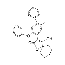 Cc1cc(C2=C(O)C3(CCCCC3)OC2=O)c(Oc2ccccc2)cc1-c1ccccc1